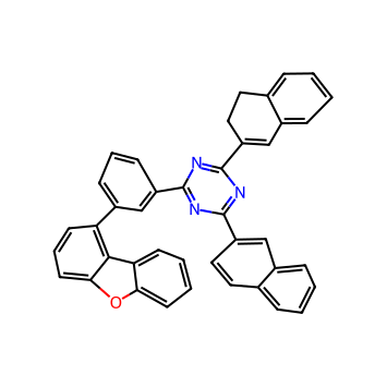 C1=C(c2nc(-c3cccc(-c4cccc5oc6ccccc6c45)c3)nc(-c3ccc4ccccc4c3)n2)CCc2ccccc21